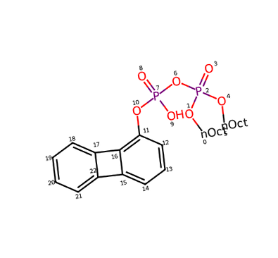 CCCCCCCCOP(=O)(OCCCCCCCC)OP(=O)(O)Oc1cccc2c1-c1ccccc1-2